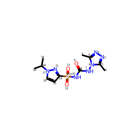 Cc1nnc(C)n1NC(=O)NS(=O)(=O)c1ccn(C(C)C)n1